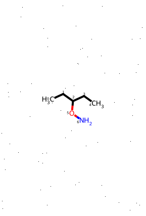 CCC(CC)ON